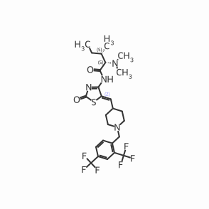 CC[C@H](C)[C@@H](C(=O)NC1=NC(=O)S/C1=C\C1CCN(Cc2ccc(C(F)(F)F)cc2C(F)(F)F)CC1)N(C)C